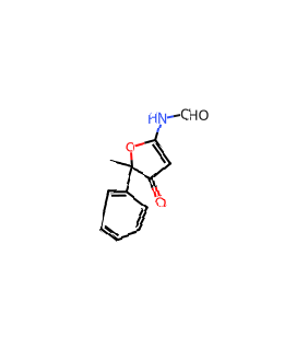 CC1(c2ccccc2)OC(NC=O)=CC1=O